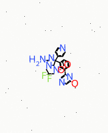 COc1cncc(-c2cccc(C3(c4ccncc4)N=C(N)N4CC(F)(F)CN(OC(C)=O)C43)c2)n1